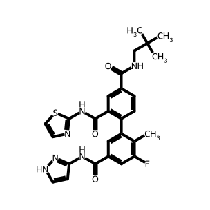 Cc1c(F)cc(C(=O)Nc2cc[nH]n2)cc1-c1ccc(C(=O)NCC(C)(C)C)cc1C(=O)Nc1nccs1